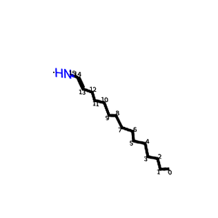 CCCCCCCCCCCCCC=C[NH]